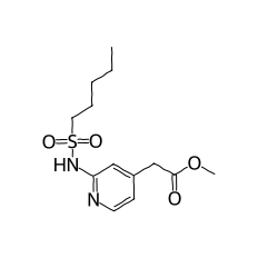 CCCCCS(=O)(=O)Nc1cc(CC(=O)OC)ccn1